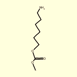 [CH2]OC(=O)OCCCCCCN